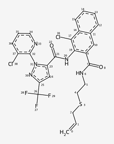 C=CCSCCNC(=O)c1cc2ccccc2c(Cl)c1NC(=O)c1cc(C(F)(F)F)nn1-c1ncccc1Cl